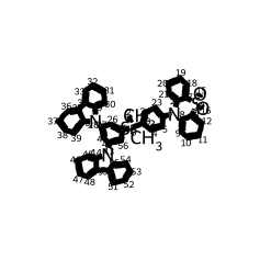 C[Si](C)(c1ccc(N2c3ccccc3S(=O)(=O)c3ccccc32)cc1)c1cc(-n2c3ccccc3c3ccccc32)cc(-n2c3ccccc3c3ccccc32)c1